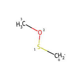 [CH2]SOC